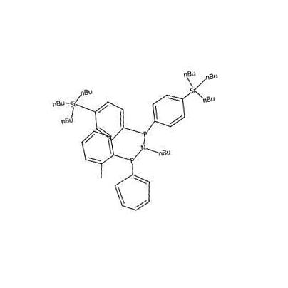 CCCCN(P(c1ccc([Si](CCCC)(CCCC)CCCC)cc1)c1ccc([Si](CCCC)(CCCC)CCCC)cc1)P(c1ccccc1)c1ccccc1C